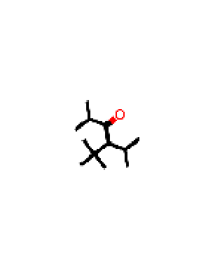 CC(C)C(=O)C(C(C)C)C(C)(C)C